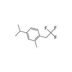 Cc1cc(C(C)C)ccc1CC(F)(F)F